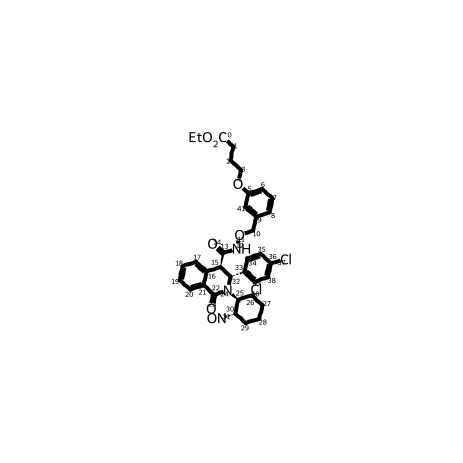 CCOC(=O)CCCOc1cccc(CONC(=O)[C@@H]2c3ccccc3C(=O)N([C@H]3CCCC[C@@H]3N=O)[C@H]2c2ccc(Cl)cc2Cl)c1